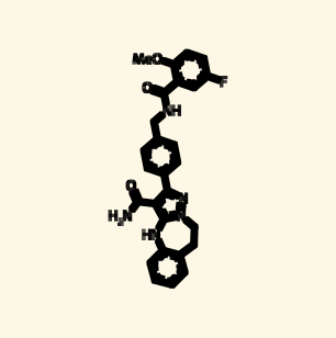 COc1ccc(F)cc1C(=O)NCc1ccc(-c2nn3c(c2C(N)=O)Nc2ccccc2CC3)cc1